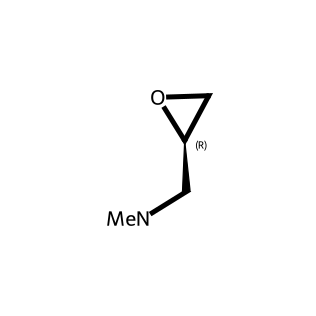 CNC[C@@H]1CO1